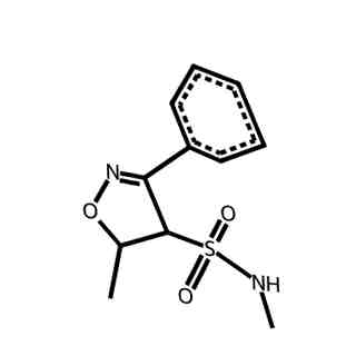 CNS(=O)(=O)C1C(c2ccccc2)=NOC1C